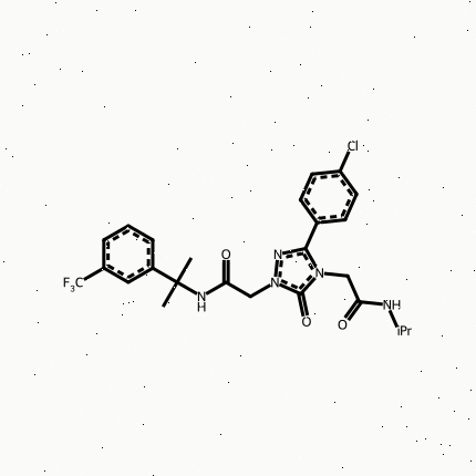 CC(C)NC(=O)Cn1c(-c2ccc(Cl)cc2)nn(CC(=O)NC(C)(C)c2cccc(C(F)(F)F)c2)c1=O